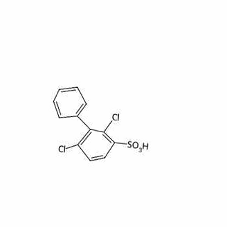 O=S(=O)(O)c1ccc(Cl)c(-c2ccccc2)c1Cl